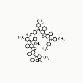 Cc1ccc(N(c2ccc(C)cc2)c2cc3oc4cc(N(c5ccc(C)cc5)c5ccc(C)c(-c6ccc(C)c(N(c7ccc(C)cc7)c7cc8oc9cc(N(c%10ccc(C)cc%10)c%10ccccc%10C)c%10ccccc%10c9c8c8ccccc78)c6)c5)c5ccccc5c4c3c3ccccc23)cc1